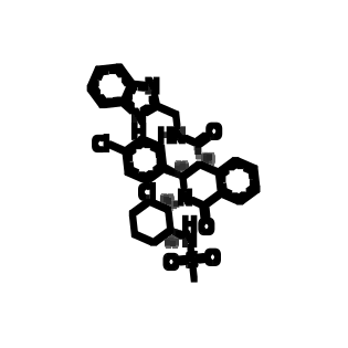 CS(=O)(=O)N[C@H]1CCCC[C@@H]1N1C(=O)c2ccccc2[C@@H](C(=O)NCc2nc3ccccc3[nH]2)[C@@H]1c1ccc(Cl)cc1Cl